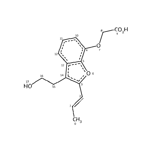 CC=Cc1oc2c(OCC(=O)O)cccc2c1CCO